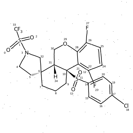 O=S(=O)(N1CC[C@]2(CCC[C@@]3(S(=O)(=O)c4ccc(Cl)cc4)c4c(F)ccc(F)c4OC[C@@H]23)C1)C(F)(F)F